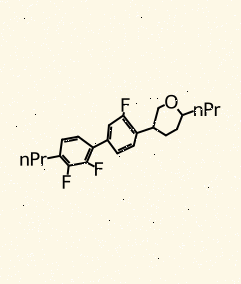 CCCc1ccc(-c2ccc(C3CCC(CCC)OC3)c(F)c2)c(F)c1F